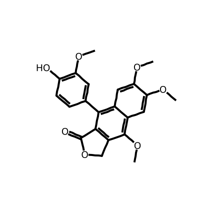 COc1cc(-c2c3c(c(OC)c4cc(OC)c(OC)cc24)COC3=O)ccc1O